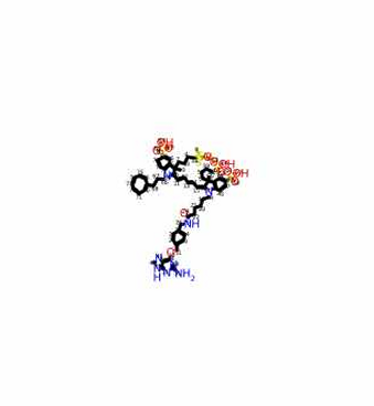 CC1(CCCC23S[SH]2(=O)S3)C(/C=C/C=C/C=C2/N(CCCCCC(=O)NCc3ccc(COc4nc(N)nc5[nH]cnc45)cc3)c3ccc(S(=O)(=O)O)cc3C2(C)CCCCS(=O)(=O)O)=[N+](CCCC2=C/C=C\C=C/C=C\2)c2ccc(S(=O)(=O)O)cc21